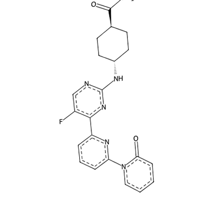 NC(=O)[C@H]1CC[C@H](Nc2ncc(F)c(-c3cccc(-n4ccccc4=O)n3)n2)CC1